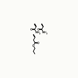 C=CC(N)=O.C=CC(N)=O.C=CCC(=O)OCCC